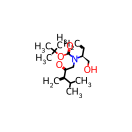 C=C[C@@H](CO)N(CC(=O)C(=C)C(C)C)C(=O)OC(C)(C)C